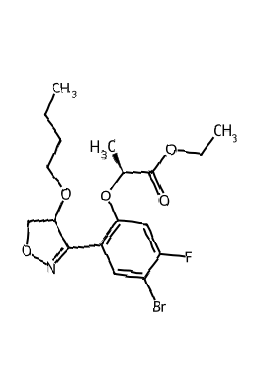 CCCCOC1CON=C1c1cc(Br)c(F)cc1O[C@@H](C)C(=O)OCC